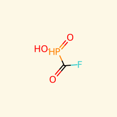 O=C(F)[PH](=O)O